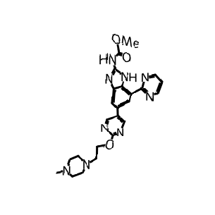 COC(=O)Nc1nc2cc(-c3cnc(OCCN4CCN(C)CC4)nc3)cc(-c3ncccn3)c2[nH]1